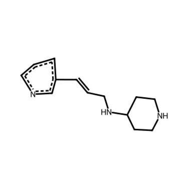 C(=C\c1cccnc1)/CNC1CCNCC1